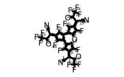 N#C/C(C(=O)C(F)(F)F)=c1/c(F)c2oc3c(F)/c(=C(\C#N)C(=O)C(F)(F)F)c(F)c3c3c(F)/c(=C(\C#N)C(=O)C(F)(F)F)c(F)c3c2c1F